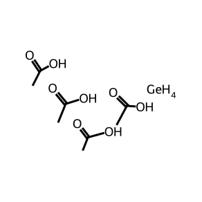 CC(=O)O.CC(=O)O.CC(=O)O.CC(=O)O.[GeH4]